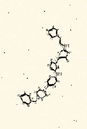 Cc1nc(NCCc2ccccc2)sc1-c1ccnc(Nc2ccc(N3CCN(Cc4ccccc4)CC3)cc2)n1